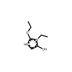 CCOc1[nH]cc(O)[n+]1CC